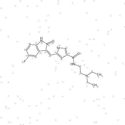 CCN(CC)CCNC(=O)c1c[se]c(C=C2C(=O)Nc3ccc(F)cc32)c1